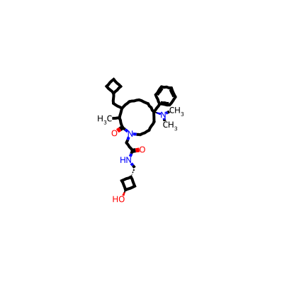 CC1C(=O)N(CC(=O)NC[C@H]2C[C@H](O)C2)CCC[C@](c2ccccc2)(N(C)C)CCCC1CC1CCC1